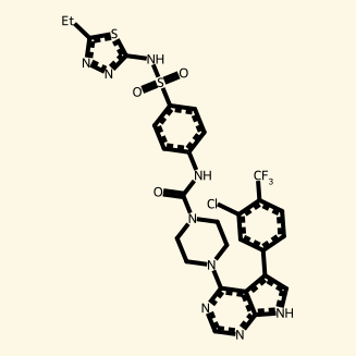 CCc1nnc(NS(=O)(=O)c2ccc(NC(=O)N3CCN(c4ncnc5[nH]cc(-c6ccc(C(F)(F)F)c(Cl)c6)c45)CC3)cc2)s1